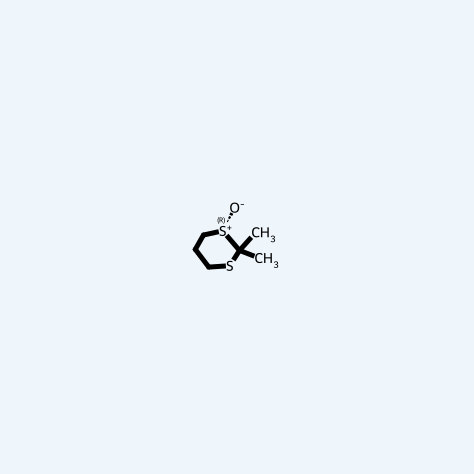 CC1(C)SCCC[S@+]1[O-]